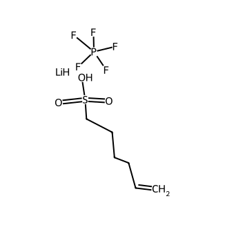 C=CCCCCS(=O)(=O)O.FP(F)(F)(F)F.[LiH]